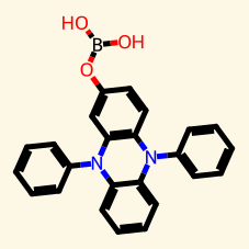 OB(O)Oc1ccc2c(c1)N(c1ccccc1)c1ccccc1N2c1ccccc1